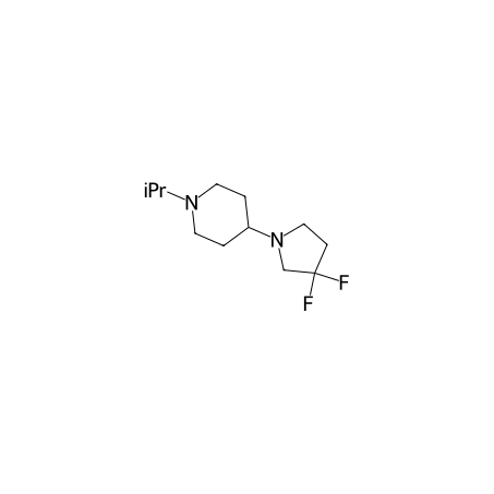 CC(C)N1CCC(N2CCC(F)(F)C2)CC1